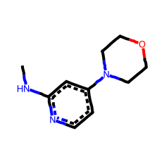 CNc1cc(N2CCOCC2)ccn1